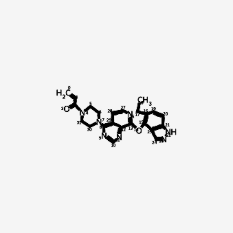 C=CC(=O)N1CCN(c2ncnc3c(Oc4c(CC)ccc5[nH]ncc45)nccc23)CC1